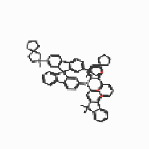 CC1(c2ccc3c(c2)C2(c4ccccc4-c4ccc(N(c5ccc6c(c5)C(C)(C)c5ccccc5-6)c5ccccc5-c5ccccc5)cc42)c2cc(C4(C)CCC5(CCCC5)C4)ccc2-3)CCC2(CCCC2)C1